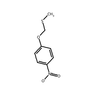 CSCOc1ccc([N+](=O)[O-])cc1